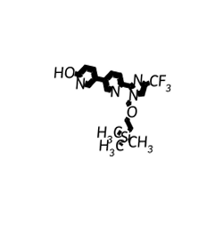 C[Si](C)(C)CCOCn1cc(C(F)(F)F)nc1-c1ccc(-c2ccc(O)nc2)cn1